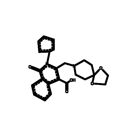 O=C(O)c1c(CN2CCC3(CC2)OCCO3)n(-c2ccccc2)c(=O)c2ccccc12